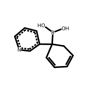 OB(O)C1(c2cccnc2)C=CC=CC1